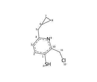 Sc1ccc(CC2CC2)nc1CCl